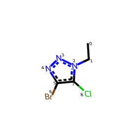 CCn1nnc(Br)c1Cl